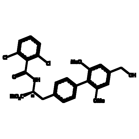 CCOC(=O)[C@H](Cc1ccc(-c2c(OC)cc(CO)cc2OC)cc1)NC(=O)c1c(Cl)cccc1Cl